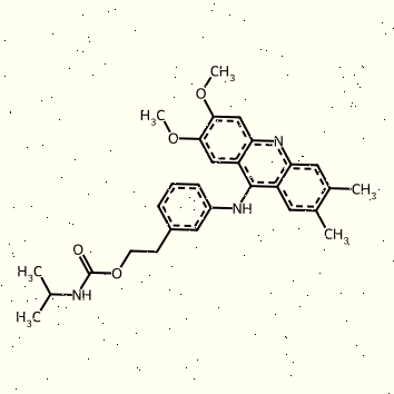 COc1cc2nc3cc(C)c(C)cc3c(Nc3cccc(CCOC(=O)NC(C)C)c3)c2cc1OC